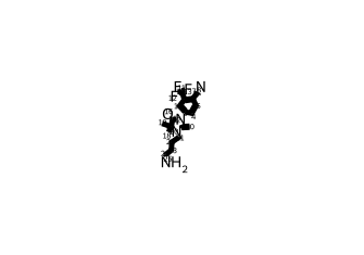 C=C1N(c2ccc(C#N)c(C(F)(F)F)c2)C(=O)C(C)(C)N1CCCCN